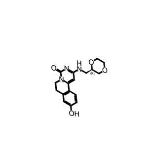 O=c1nc(NC[C@@H]2COCCO2)cc2n1CCc1cc(O)ccc1-2